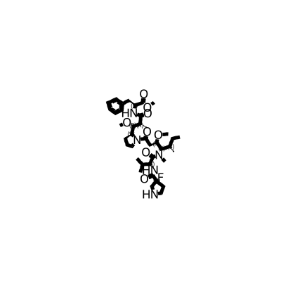 CC[C@H](C)[C@@H]([C@@H](CC(=O)N1CCC[C@H]1[C@H](OC)[C@@H](C)C(=O)N[C@@H](Cc1ccccc1)C(=O)OC)OC)N(C)C(=O)[C@@H](NC(=O)[C@@]1(F)CCNC1)C(C)C